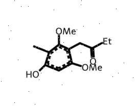 CCC(=O)Cc1c(OC)cc(O)c(C)c1OC